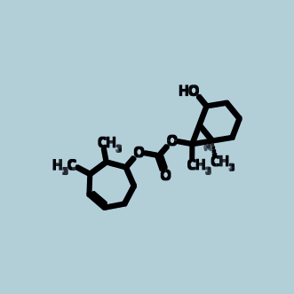 CC1C=CCCC(OC(=O)OC2(C)C3C(O)CCC[C@]32C)C1C